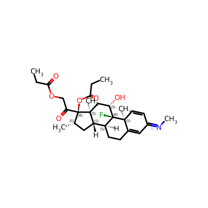 CCC(=O)OCC(=O)[C@@]1(OC(=O)CC)[C@@H](C)C[C@H]2[C@@H]3CCC4=C/C(=N/C)C=C[C@]4(C)[C@@]3(F)[C@@H](O)C[C@@]21C